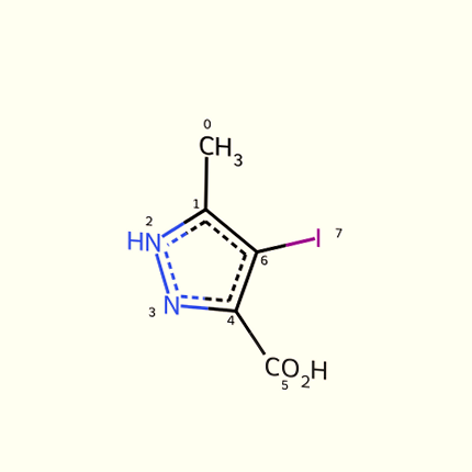 Cc1[nH]nc(C(=O)O)c1I